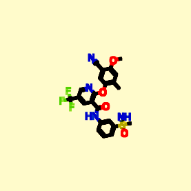 COc1cc(C)c(Oc2ncc(C(F)(F)F)cc2C(=O)Nc2cccc(S(C)(=N)=O)c2)cc1C#N